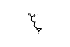 FC(F)C[CH]CC1CC1